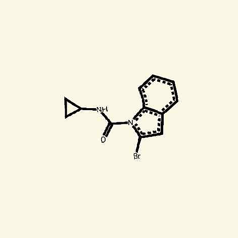 O=C(NC1CC1)n1c(Br)cc2ccccc21